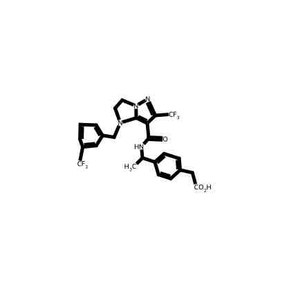 CC(NC(=O)c1c(C(F)(F)F)nn2c1N(Cc1cccc(C(F)(F)F)c1)CC2)c1ccc(CC(=O)O)cc1